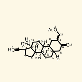 C#C[C@]1(O)CC[C@H]2[C@@H]3CC[C@H]4CC(=O)/C(=C/OC(C)=O)C[C@]4(C)[C@H]3CC[C@@]21C